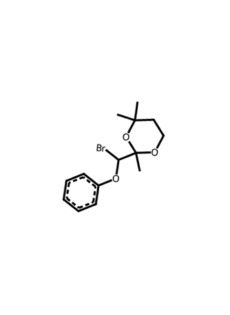 CC1(C)CCOC(C)(C(Br)Oc2ccccc2)O1